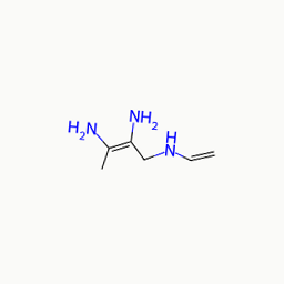 C=CNC/C(N)=C(\C)N